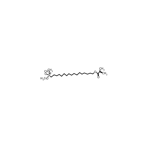 C=C(C)C(=O)OCCCCCCCCCCCCCCCCC[Si](OC)(OC)OC